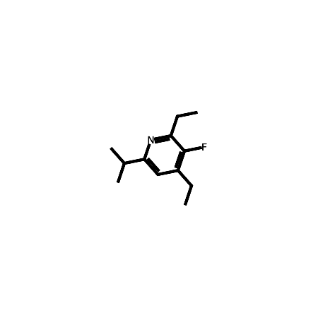 CCc1cc(C(C)C)nc(CC)c1F